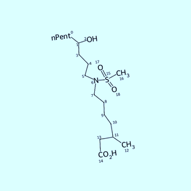 CCCCCC(O)CCCN(CCCCC(C)CC(=O)O)S(C)(=O)=O